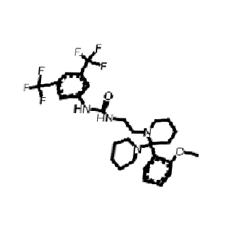 COc1ccccc1C1(N2CCCCC2)CCCCN1CCNC(=O)Nc1cc(C(F)(F)F)cc(C(F)(F)F)c1